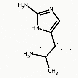 CC(N)Cc1cnc(N)[nH]1